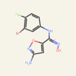 Nc1cc(/C(=N\O)Nc2ccc(F)c(Br)c2)on1